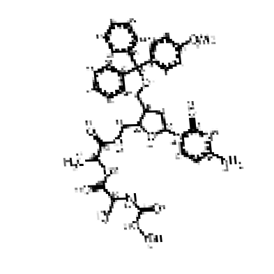 COc1ccc(C(OCC2CC(n3ccc(N)nc3=O)OC2COC(=O)C(C)OC(=O)C(NC(=O)OC(C)(C)C)C(C)C)(c2ccccc2)c2ccccc2)cc1